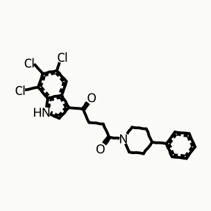 O=C(CCC(=O)N1CCC(c2ccccc2)CC1)c1c[nH]c2c(Cl)c(Cl)c(Cl)cc12